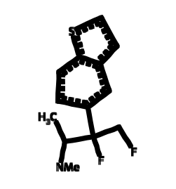 CNC(C)C(F)(CF)c1ccc2sccc2c1